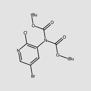 CC(C)(C)OC(=O)N(C(=O)OC(C)(C)C)c1cc(Br)cnc1Cl